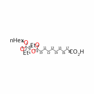 CCCCCCOC(=O)C(CC)(CC)OC(=O)CCCCCCCCC(=O)O